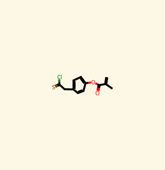 C=C(C)C(=O)Oc1ccc(CC(=S)Cl)cc1